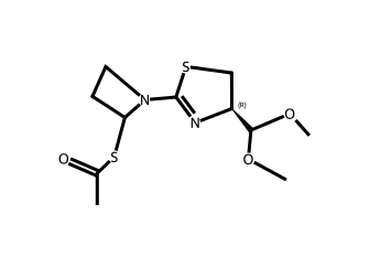 COC(OC)[C@@H]1CSC(N2CCC2SC(C)=O)=N1